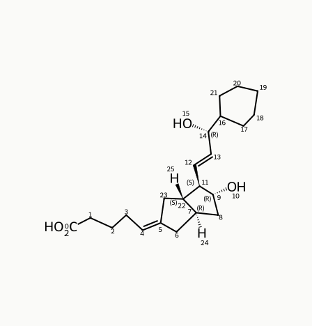 O=C(O)CCCC=C1C[C@@H]2C[C@@H](O)[C@H](C=C[C@H](O)C3CCCCC3)[C@H]2C1